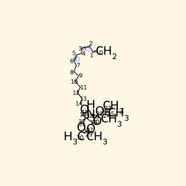 C=C/C=C\C/C=C\CCCCCCCCOCC1(NC(=O)OC(C)(C)C)COC(C)(C)OC1